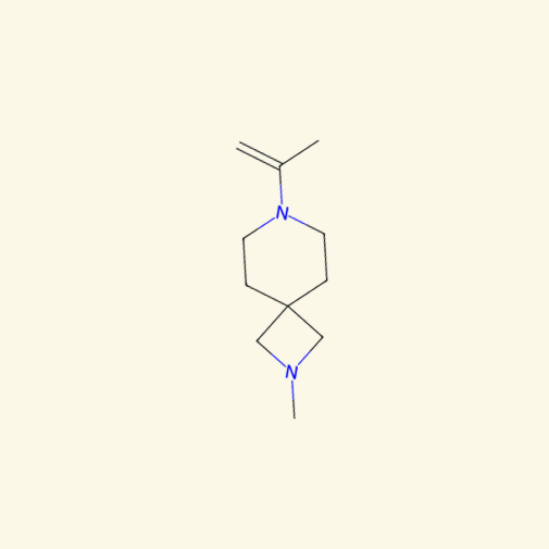 C=C(C)N1CCC2(CC1)CN(C)C2